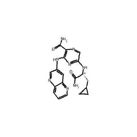 NC(=O)c1ncc(N[C@H](CC2CC2)C(N)=O)nc1Nc1cnc2cccnc2c1